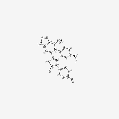 COc1ccc(N2C(c3nc(-c4ccc(F)cc4)c(C)s3)=Nc3occc3C2N)cc1